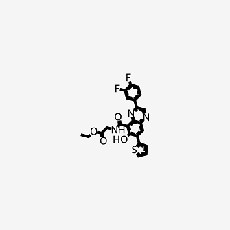 CCOC(=O)CNC(=O)c1c(O)c(-c2cccs2)cc2ncc(-c3ccc(F)c(F)c3)nc12